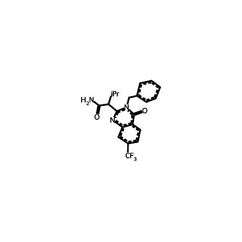 CC(C)C(C(N)=O)c1nc2cc(C(F)(F)F)ccc2c(=O)n1Cc1ccccc1